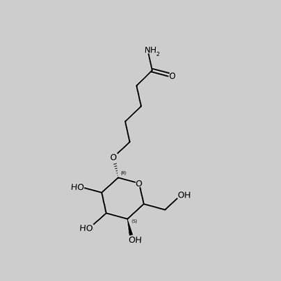 NC(=O)CCCCO[C@@H]1OC(CO)[C@@H](O)C(O)C1O